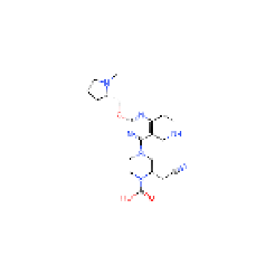 CN1CCC[C@H]1COc1nc2c(c(N3CCN(C(=O)O)[C@@H](CC#N)C3)n1)CNCC2